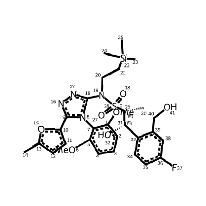 COc1cccc(OC)c1-n1c(-c2ccc(C)o2)nnc1N(CC[Si](C)(C)C)S(=O)(=O)[C@H](C)[C@@H](O)c1ccc(F)cc1CO